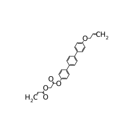 C=CCOc1ccc(-c2ccc(-c3ccc(OC(=O)COC(=O)C=C)cc3)cc2)cc1